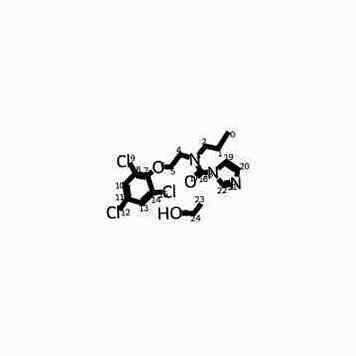 CCCN(CCOc1c(Cl)cc(Cl)cc1Cl)C(=O)n1ccnc1.CCO